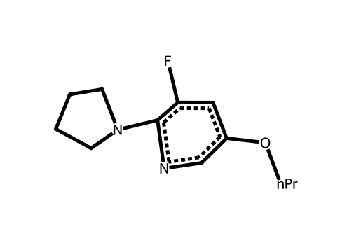 CCCOc1cnc(N2CCCC2)c(F)c1